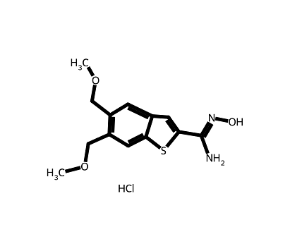 COCc1cc2cc(C(N)=NO)sc2cc1COC.Cl